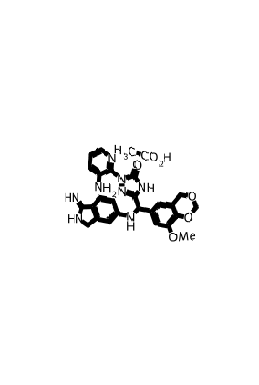 CC(=O)O.COc1cc(C(Nc2ccc3c(c2)CNC3=N)c2nn(-c3ncccc3N)c(=O)[nH]2)cc2c1OCOC2